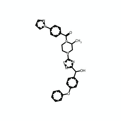 CC1CN(c2nc(C(O)c3ccc(Oc4ccccc4)cc3)ns2)CCN1C(=O)c1ccc(-n2cccn2)cc1